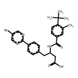 Cc1cc(C(=O)NC(CC(=O)O)Cc2ccc(-c3ncc(Br)cn3)cc2)ccc1C(C)(C)C